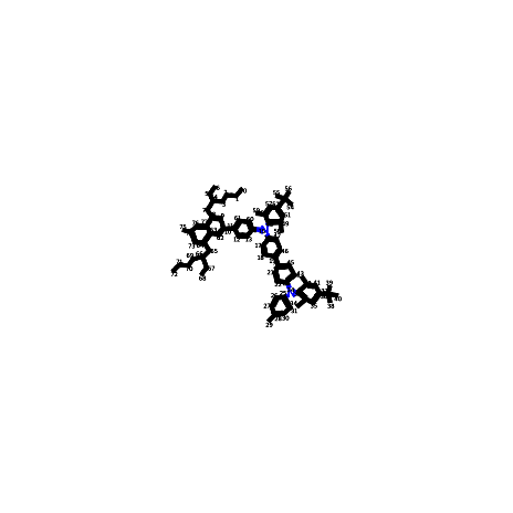 CCCCC(CC)Cc1cc(-c2ccc(N(c3ccc(-c4ccc(N(c5ccc(C)cc5)c5c(C)cc(C(C)(C)C)cc5C)cc4)cc3)c3c(C)cc(C(C)(C)C)cc3C)cc2)cc2c(CC(CC)CCCC)cc(C)cc12